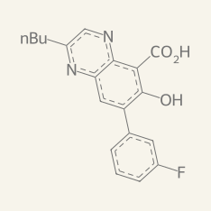 CCCCc1cnc2c(C(=O)O)c(O)c(-c3cccc(F)c3)cc2n1